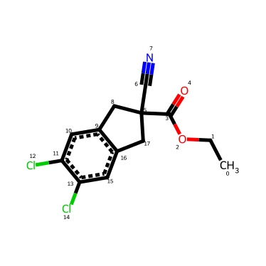 CCOC(=O)C1(C#N)Cc2cc(Cl)c(Cl)cc2C1